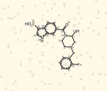 CC(C)C1CN(Cc2ccccc2F)CCN1C(=O)c1ccc2c(C(=O)O)c[nH]c2c1